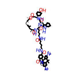 C/C1=C\CC[C@H](C)OC(=O)C[C@H](c2ccc(O)cc2)NC(=O)[C@@H](Cc2c[nH]c3ccccc23)N(C)C(=O)C(CCCCNC(=O)CCCCCNC(=O)c2ccc3c(c2)C2(c4ccc(N(C)C)cc4C(C)(C)c4cc(N(C)C)ccc42)N(C#N)C3=O)NC(=O)[C@@H](C)C1